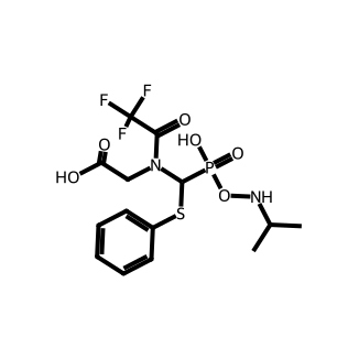 CC(C)NOP(=O)(O)C(Sc1ccccc1)N(CC(=O)O)C(=O)C(F)(F)F